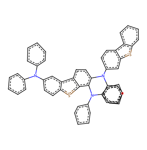 c1ccc(N(c2ccccc2)c2ccc3sc4c(N(c5ccccc5)c5ccccc5)c(N(c5ccccc5)c5ccc6c(c5)sc5ccccc56)ccc4c3c2)cc1